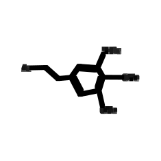 COc1cc(CCC(C)=O)cc(NC(C)=O)c1OC